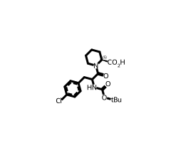 CC(C)(C)OC(=O)NC(Cc1ccc(Cl)cc1)C(=O)N1CCCC[C@H]1C(=O)O